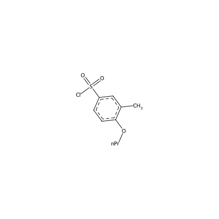 CCCOc1ccc(S(=O)(=O)Cl)cc1C